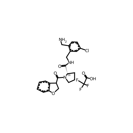 NCc1ccc(Cl)cc1CNC(=O)[C@@H]1CCCN1C(=O)C1COc2ccccc21.O=C(O)C(F)(F)F